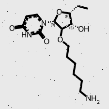 CC[C@H]1O[C@@H](n2ccc(=O)[nH]c2=O)C(OCCCCCCN)[C@H]1O